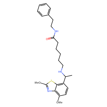 COc1nc2c(OC)ccc(C(C)NCCCCCC(=O)NCCc3ccccc3)c2s1